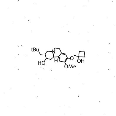 COc1cc2c(cc1OCC1(O)CCC1)CCN1C[C@@H](CC(C)(C)C)[C@H](O)C[C@H]21